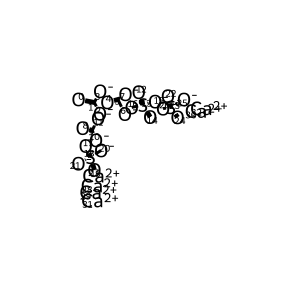 O=C([O-])[O-].O=C([O-])[O-].O=C([O-])[O-].O=S(=O)([O-])[O-].O=S(=O)([O-])[O-].O=S(=O)([O-])[O-].[Ca+2].[Ca+2].[Ca+2].[Ca+2].[Ca+2].[Ca+2]